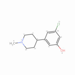 CN1CCC(c2cc(O)cc(Cl)c2)CC1